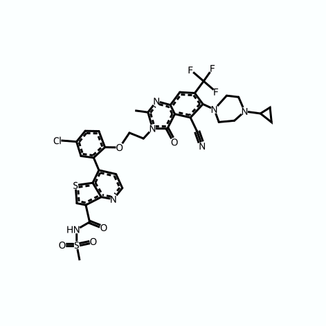 Cc1nc2cc(C(F)(F)F)c(N3CCN(C4CC4)CC3)c(C#N)c2c(=O)n1CCOc1ccc(Cl)cc1-c1ccnc2c(C(=O)NS(C)(=O)=O)csc12